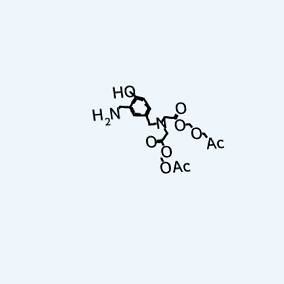 CC(=O)COCOC(=O)CN(CC(=O)OCOC(C)=O)Cc1ccc(O)c(CN)c1